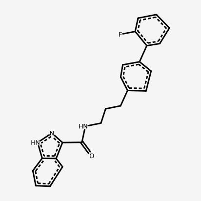 O=C(NCCCc1ccc(-c2ccccc2F)cc1)c1n[nH]c2ccccc12